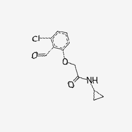 O=Cc1c(Cl)cccc1OCC(=O)NC1CC1